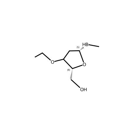 CB[C@H]1CC(OCC)[C@@H](CO)O1